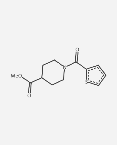 COC(=O)C1CCN(C(=O)c2cccs2)CC1